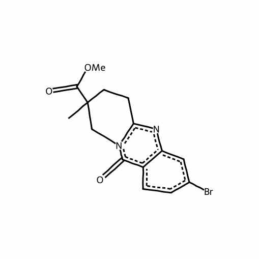 COC(=O)C1(C)CCc2nc3cc(Br)ccc3c(=O)n2C1